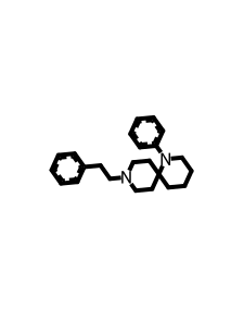 c1ccc(CCN2CCC3(CCCCN3c3ccccc3)CC2)cc1